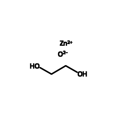 OCCO.[O-2].[Zn+2]